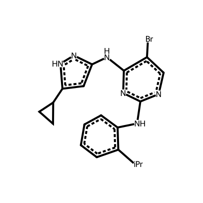 CC(C)c1ccccc1Nc1ncc(Br)c(Nc2cc(C3CC3)[nH]n2)n1